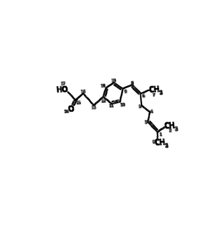 CC(C)=CCCC(C)=Cc1ccc(CCC(=O)O)cc1